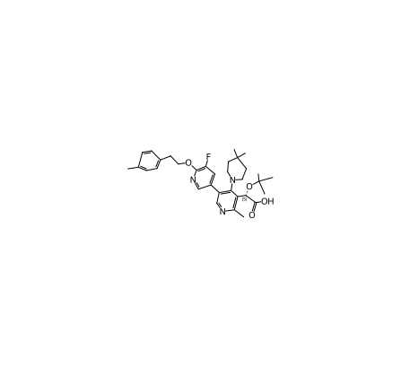 Cc1ccc(CCOc2ncc(-c3cnc(C)c([C@H](OC(C)(C)C)C(=O)O)c3N3CCC(C)(C)CC3)cc2F)cc1